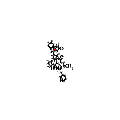 CC(C)C[C@H](NC(=O)[C@@H](NC(=O)OCc1cccnc1)C1CCOC1)C(=O)N[C@@H](C[C@@H]1CCNC1=O)C(=O)c1nc2ccccc2s1